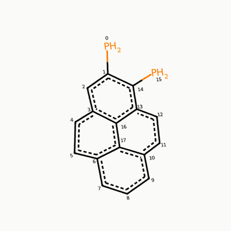 Pc1cc2ccc3cccc4ccc(c1P)c2c34